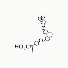 CC#C[C@@H](CC(=O)O)c1ccc(OCc2ccc3c(c2)-c2ccc(OCC4CCS(=O)(=O)CC4)cc2CCC3)cc1